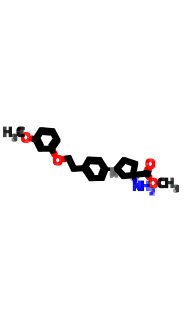 COC(=O)[C@@]1(N)CC[C@@H](c2ccc(CCOc3cccc(OC)c3)cc2)C1